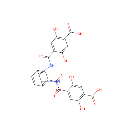 O=C(O)c1cc(O)c(C(=O)NC2c3ccc(c(C(=O)O)c3)C2NC(=O)c2cc(O)c(C(=O)O)cc2O)cc1O